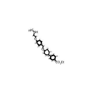 CCCNCCOc1ccc(COC2CCC(c3ccc(C(=O)OCC)cc3)CC2)cc1